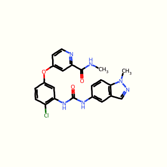 CNC(=O)c1cc(Oc2ccc(Cl)c(NC(=O)Nc3ccc4c(cnn4C)c3)c2)ccn1